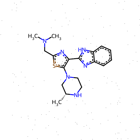 C[C@@H]1CN(c2sc(CN(C)C)nc2-c2nc3ccccc3[nH]2)CCN1